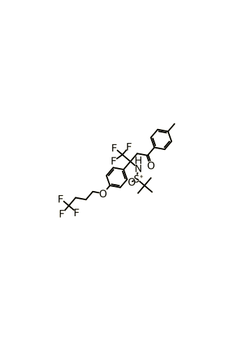 Cc1ccc(C(=O)CC(N[S+]([O-])C(C)(C)C)(c2ccc(OCCCC(F)(F)F)cc2)C(F)(F)F)cc1